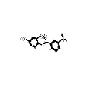 CC[C@@H](Oc1ccc(C(=O)O)cc1OC)c1cccc(N(C)C)c1